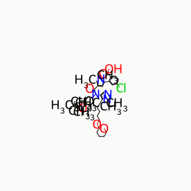 Cc1c(C(=O)N(c2ccc(O[Si](C)(C)C(C)(C)C)cc2)c2cnn(C)c2C(C)(C)CCCCOC2CCCCO2)cc(-c2cc(Cl)ccc2C(=O)O)n1C